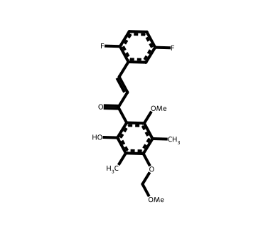 COCOc1c(C)c(O)c(C(=O)C=Cc2cc(F)ccc2F)c(OC)c1C